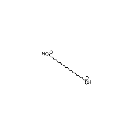 O=C(O)CCCCCCCCC=CCCCCCCCCCC(=O)O